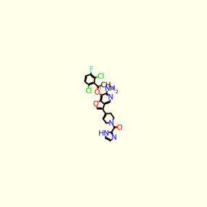 C[C@@H](Oc1c(N)ncc2c(C3=CCN(C(=O)c4ncc[nH]4)CC3)coc12)c1c(Cl)ccc(F)c1Cl